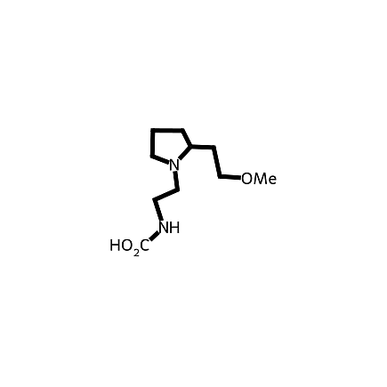 COCCC1CCCN1CCNC(=O)O